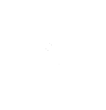 CN(C)N=C1CC(=O)CC(C)(C)C1